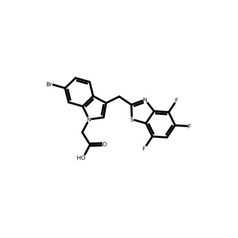 O=C(O)Cn1cc(Cc2nc3c(F)c(F)cc(F)c3s2)c2ccc(Br)cc21